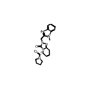 Cn1c(Cn2nc3n(c2=O)[C@@H](C(=O)N2CCCC2)CCC3)nc2ccccc21